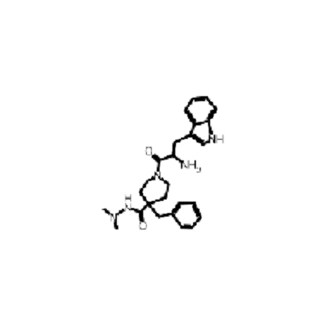 CN(C)NC(=O)C1(Cc2ccccc2)CCN(C(=O)C(N)Cc2c[nH]c3ccccc23)CC1